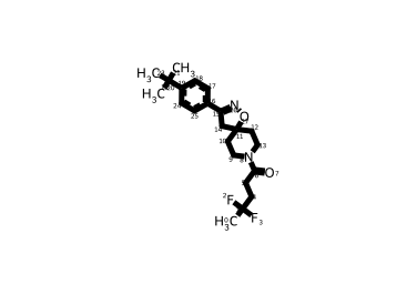 CC(F)(F)CCC(=O)N1CCC2(CC1)CC(c1ccc(C(C)(C)C)cc1)=NO2